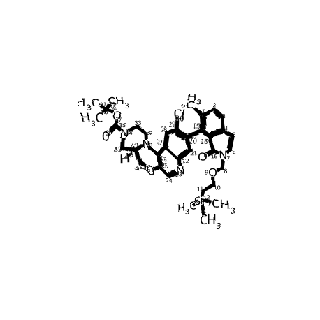 Cc1ccc2ccn(COCC[Si](C)(C)C)c(=O)c2c1-c1cc2ncc3c(c2cc1Cl)N1CCN(C(=O)OC(C)(C)C)C[C@@H]1CO3